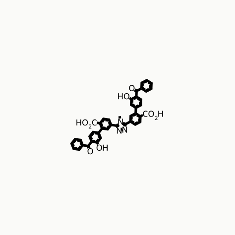 Cn1c(-c2ccc(C(=O)O)c(-c3ccc(C(=O)c4ccccc4)c(O)c3)c2)nnc1-c1ccc(C(=O)O)c(-c2ccc(C(=O)c3ccccc3)c(O)c2)c1